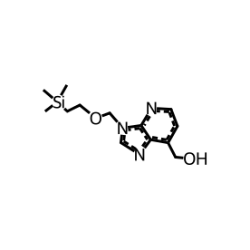 C[Si](C)(C)CCOCn1cnc2c(CO)ccnc21